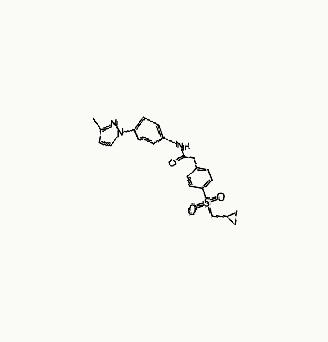 Cc1ccn(-c2ccc(NC(=O)Cc3ccc(S(=O)(=O)CC4CC4)cc3)cc2)n1